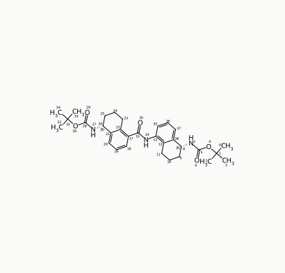 CC(C)(C)OC(=O)N[C@@H]1CCCc2c(NC(=O)c3cccc4c3CCC[C@H]4NC(=O)OC(C)(C)C)cccc21